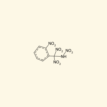 O=[N+]([O-])NC(c1ccccc1[N+](=O)[O-])([N+](=O)[O-])[N+](=O)[O-]